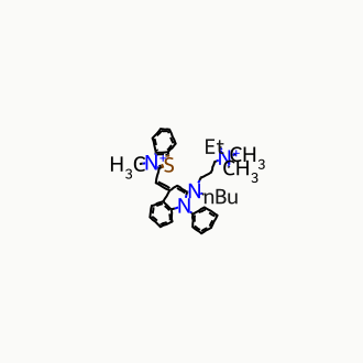 CCCCN(CCC[N+](C)(C)CC)C1=CC(=Cc2sc3ccccc3[n+]2C)c2ccccc2N1c1ccccc1